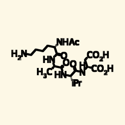 CC(=O)N[C@@H](CCCCN)C(=O)N[C@H](C)C(=O)N[C@H](C(=O)N[C@@H](CC(=O)O)C(=O)O)C(C)C